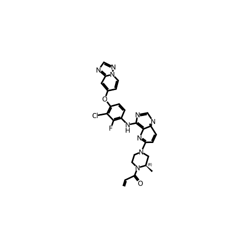 C=CC(=O)N1CCN(c2ccc3ncnc(Nc4ccc(Oc5ccn6ncnc6c5)c(Cl)c4F)c3n2)C[C@H]1C